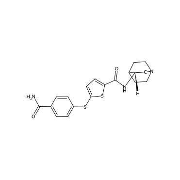 NC(=O)c1ccc(Sc2ccc(C(=O)N[C@H]3CN4CCC3CC4)s2)cc1